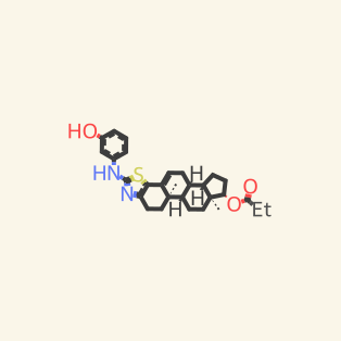 CCC(=O)O[C@H]1CC[C@H]2[C@@H]3CC=C4c5sc(Nc6cccc(O)c6)nc5CC[C@]4(C)[C@H]3CC[C@]12C